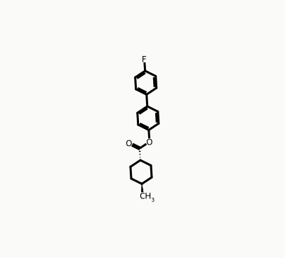 C[C@H]1CC[C@H](C(=O)Oc2ccc(-c3ccc(F)cc3)cc2)CC1